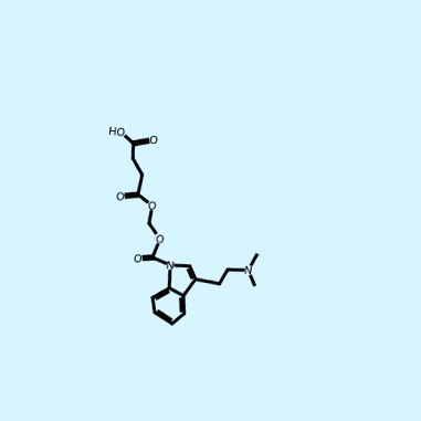 CN(C)CCc1cn(C(=O)OCOC(=O)CCC(=O)O)c2ccccc12